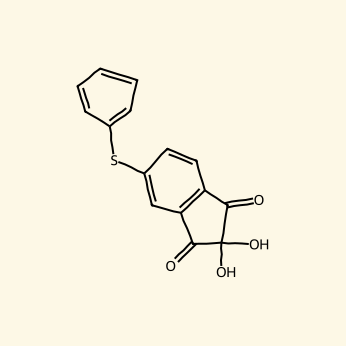 O=C1c2ccc(Sc3ccccc3)cc2C(=O)C1(O)O